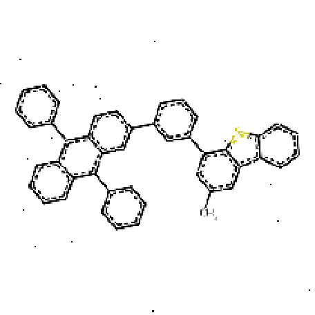 Cc1cc(-c2cccc(-c3ccc4c(-c5ccccc5)c5ccccc5c(-c5ccccc5)c4c3)c2)c2sc3ccccc3c2c1